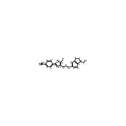 CC[C@@H]1CCc2cc(OCCc3nc(-c4ccc(C#N)cc4)sc3C)ccc21